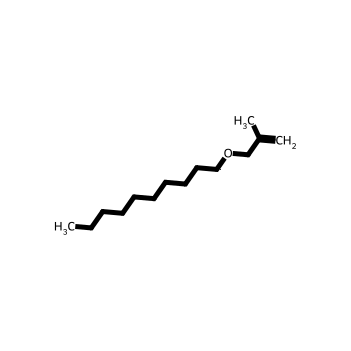 C=C(C)CO[CH]CCCCCCCCC